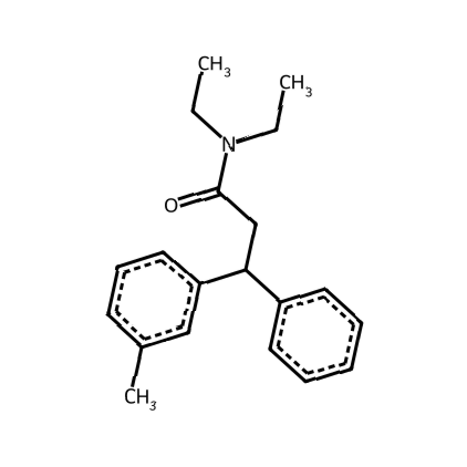 CCN(CC)C(=O)CC(c1ccccc1)c1cccc(C)c1